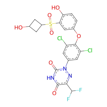 O=c1[nH]c(=O)n(-c2cc(Cl)c(Oc3ccc(O)c(S(=O)(=O)C4CC(O)C4)c3)c(Cl)c2)nc1C(F)F